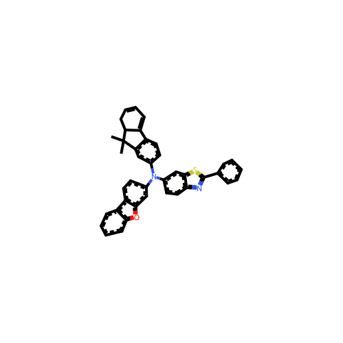 CC1(C)c2cc(N(c3ccc4c(c3)oc3ccccc34)c3ccc4nc(-c5ccccc5)sc4c3)ccc2C2=CC=CCC21